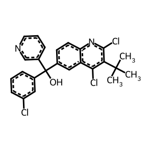 CC(C)(C)c1c(Cl)nc2ccc(C(O)(c3cccnc3)c3cccc(Cl)c3)cc2c1Cl